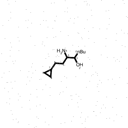 CCCCC(O)C(N)CCC1CC1